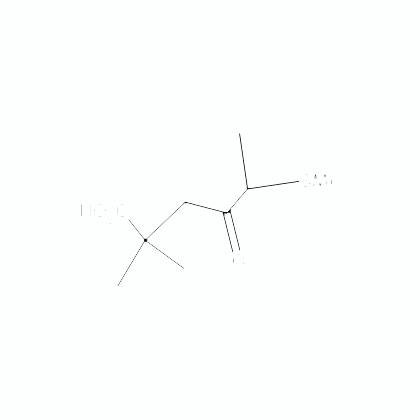 CSC(C)C(=O)CC(C)(C)C(=O)O